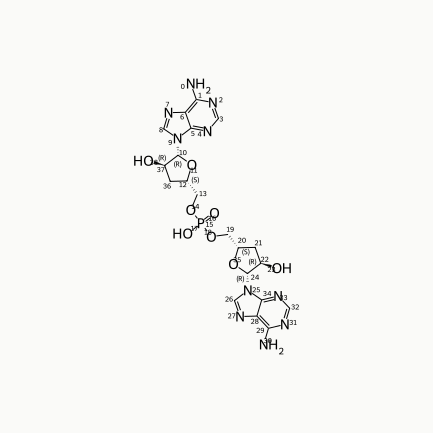 Nc1ncnc2c1ncn2[C@@H]1O[C@H](COP(=O)(O)OC[C@@H]2C[C@@H](O)[C@H](n3cnc4c(N)ncnc43)O2)C[C@H]1O